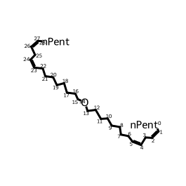 CCCCC/C=C\C/C=C\CCCCCCCCOCCCCCCCC/C=C\C/C=C\CCCCC